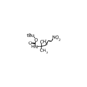 CC(C)(CCC[N+](=O)[O-])NC(=O)OC(C)(C)C